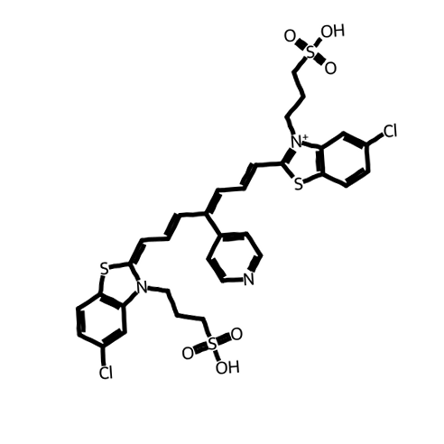 O=S(=O)(O)CCCN1C(=CC=CC(=CC=Cc2sc3ccc(Cl)cc3[n+]2CCCS(=O)(=O)O)c2ccncc2)Sc2ccc(Cl)cc21